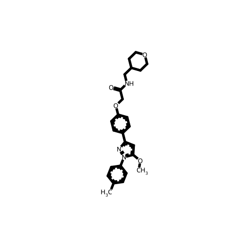 COc1cc(-c2ccc(OCC(=O)NCC3CCOCC3)cc2)nn1-c1ccc(C)cc1